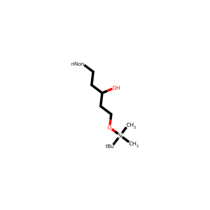 CCCCCCCCCCCC(O)CCO[Si](C)(C)C(C)(C)C